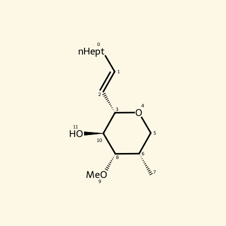 CCCCCCCC=C[C@@H]1OC[C@H](C)[C@H](OC)[C@H]1O